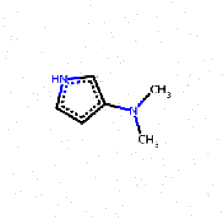 CN(C)c1[c][nH]cc1